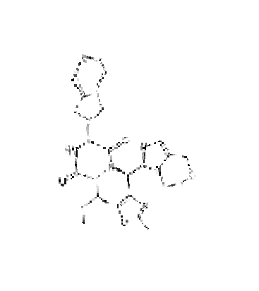 CC[C@H](C)[C@@H]1C(=O)N[C@H](C2Cc3ccccc3C2)C(=O)N1[C@H](c1coc(C)n1)c1ncc2n1CCOC2